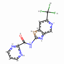 O=C(Nc1nc2cnc(C(F)(F)F)cc2s1)c1ncccn1